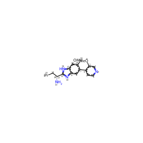 COc1cnccc1-c1cc2nc([C@H](N)CC(C)C)[nH]c2cc1OC